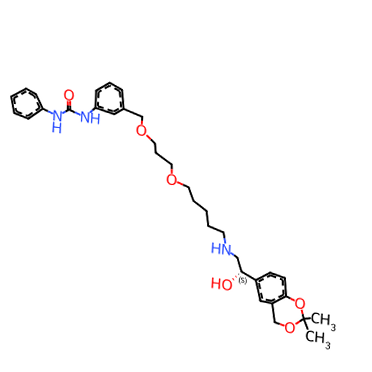 CC1(C)OCc2cc([C@H](O)CNCCCCCOCCCOCc3cccc(NC(=O)Nc4ccccc4)c3)ccc2O1